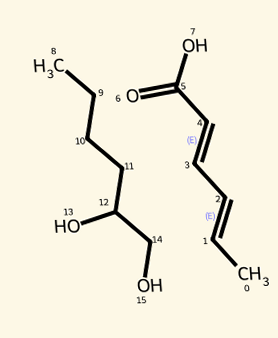 C/C=C/C=C/C(=O)O.CCCCC(O)CO